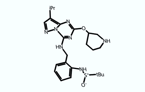 CC(C)c1cnn2c(NCc3ccccc3N[S+]([O-])C(C)(C)C)nc(OC3CCCNC3)nc12